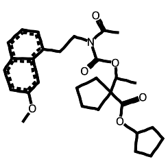 COc1ccc2cccc(CCN(C(C)=O)C(=O)OC(C)C3(C(=O)OC4CCCC4)CCCC3)c2c1